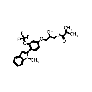 C=C(C)C(=O)OCC(O)COc1ccc(-c2cc3ccccc3n2C)c(OC(F)(F)F)c1